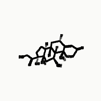 C[C@]12C=CC(=O)C=C1[C@@H](F)C[C@H]1[C@@H]3CC[C@](O)(C(=O)CO)[C@@]3(C)C[C@H](O)C12F